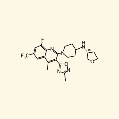 Cc1noc(-c2c(N3CCC(N[C@@H]4CCOC4)CC3)nc3c(F)cc(C(F)(F)F)cc3c2C)n1